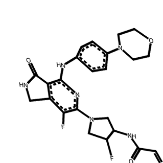 C=CC(=O)NC1CN(c2nc(Nc3ccc(N4CCOCC4)cc3)c3c(c2F)CNC3=O)CC1F